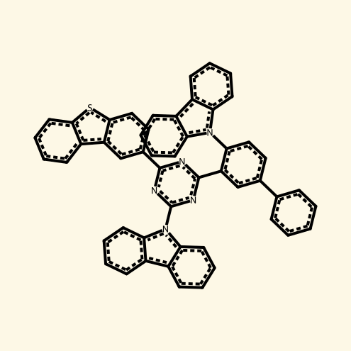 c1ccc(-c2ccc(-n3c4ccccc4c4ccccc43)c(-c3nc(-c4ccc5sc6ccccc6c5c4)nc(-n4c5ccccc5c5ccccc54)n3)c2)cc1